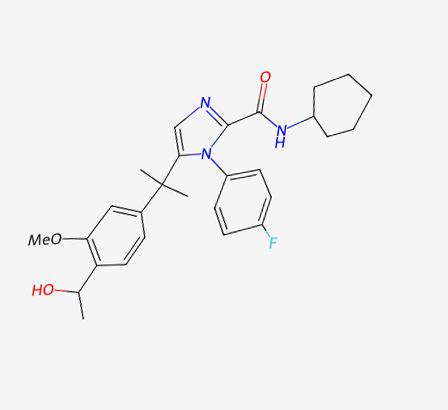 COc1cc(C(C)(C)c2cnc(C(=O)NC3CCCCC3)n2-c2ccc(F)cc2)ccc1C(C)O